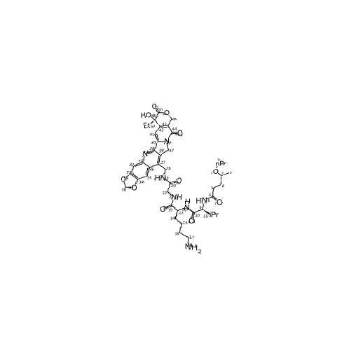 CCCOC(C)CCC(=O)N[C@H](C(=O)N[C@@H](CCCCN)C(=O)NCC(=O)NCc1c2c(nc3cc4c(cc13)OCO4)-c1cc3c(c(=O)n1C2)COC(=O)[C@]3(O)CC)C(C)C